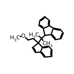 COCCC1(C(C)(C)C2c3ccccc3-c3ccccc32)C=Cc2ccccc21